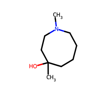 CN1CCCCC(C)(O)CC1